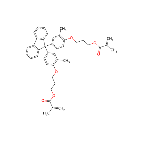 C=C(C)C(=O)OCCCOc1ccc(C2(c3ccc(OCCCOC(=O)C(=C)C)c(C)c3)c3ccccc3-c3ccccc32)cc1C